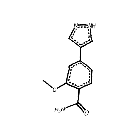 COc1cc(-c2cn[nH]c2)ccc1C(N)=O